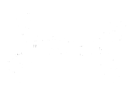 c1ccc2c(c1)ccc1oc3cc(N(c4ccc(C5CCCCC5)cc4)c4ccc5c(c4)oc4cc6cc7c(cc6cc45)oc4cc(N(c5ccc(C6CCCCC6)cc5)c5ccc6c(c5)oc5ccc8ccccc8c56)ccc47)ccc3c12